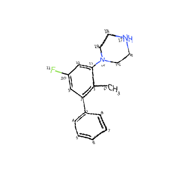 Cc1c(-c2ccccc2)cc(F)cc1N1CCNCC1